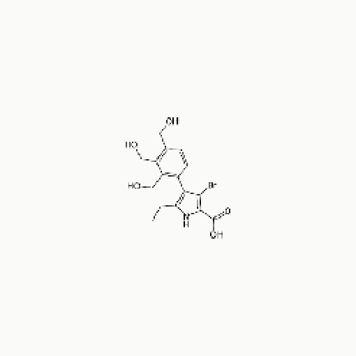 CCc1[nH]c(C(=O)O)c(Br)c1-c1ccc(CO)c(CO)c1CO